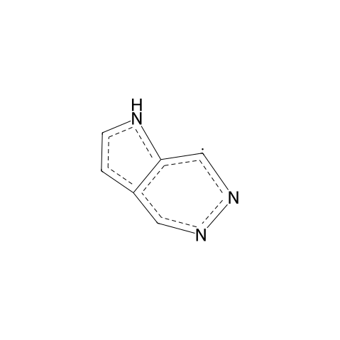 [c]1nncc2cc[nH]c12